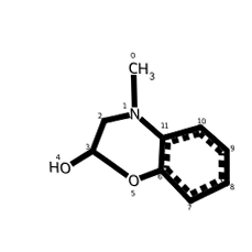 CN1CC(O)Oc2ccccc21